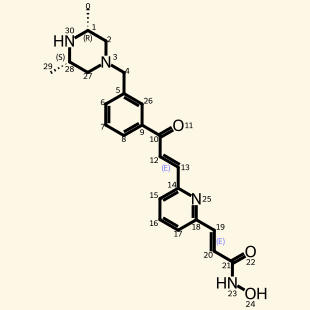 C[C@@H]1CN(Cc2cccc(C(=O)/C=C/c3cccc(/C=C/C(=O)NO)n3)c2)C[C@H](C)N1